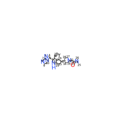 CC(C)c1c(-c2cnc3cnccn23)[nH]c2ccc(C3CCN(CC(=O)N(C)C)CC3)cc12